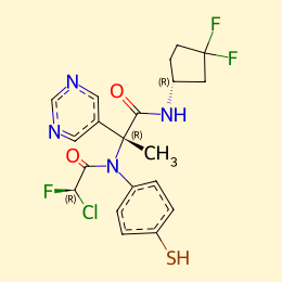 C[C@](C(=O)N[C@@H]1CCC(F)(F)C1)(c1cncnc1)N(C(=O)[C@H](F)Cl)c1ccc(S)cc1